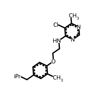 Cc1cc(CC(C)C)ccc1OCCNc1ncnc(C)c1Cl